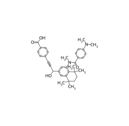 CN(C)c1ccc(C(=O)N(C)c2cc(C(O)C#Cc3ccc(C(=O)O)cc3)cc3c2C(C)(C)CCC3(C)C)cc1